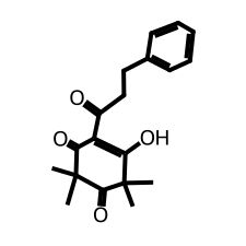 CC1(C)C(=O)C(C(=O)CCc2ccccc2)=C(O)C(C)(C)C1=O